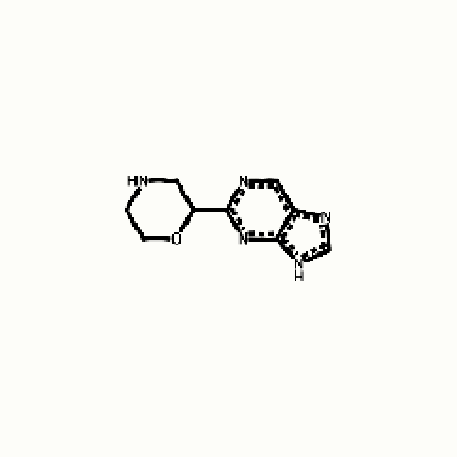 c1nc2cnc(C3CNCCO3)nc2[nH]1